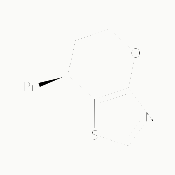 CC(C)[C@H]1CCOc2ncsc21